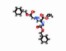 COC(=O)/C(CNCC(=O)OCc1ccccc1)=N/C(=O)OCc1ccccc1